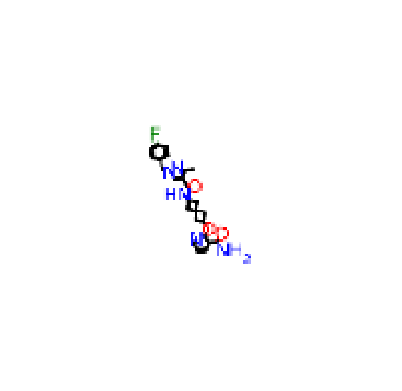 Cc1nn(Cc2ccc(F)cc2)cc1C(=O)NC1CC2(C1)CC(Oc1ncccc1C(N)=O)C2